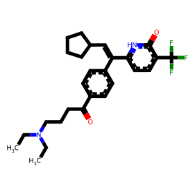 CCN(CC)CCCC(=O)c1ccc(/C(=C\C2CCCC2)c2ccc(C(F)(F)F)c(=O)[nH]2)cc1